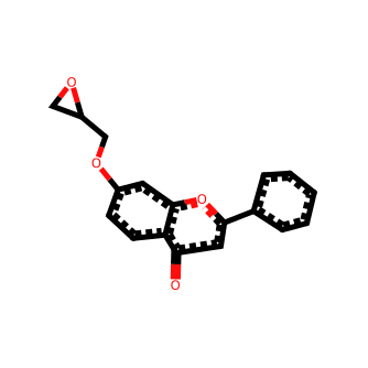 O=c1cc(-c2ccccc2)oc2cc(OCC3CO3)ccc12